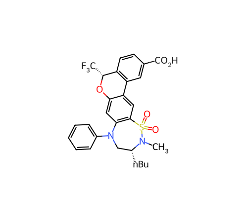 CCCC[C@@H]1CN(c2ccccc2)c2cc3c(cc2S(=O)(=O)N1C)-c1cc(C(=O)O)ccc1[C@@H](C(F)(F)F)O3